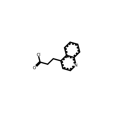 O=C(Cl)CCc1ccnc2ccccc12